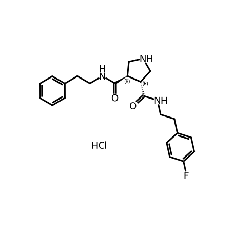 Cl.O=C(NCCc1ccccc1)[C@H]1CNC[C@@H]1C(=O)NCCc1ccc(F)cc1